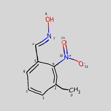 Cc1cccc(C=NO)c1[N+](=O)[O-]